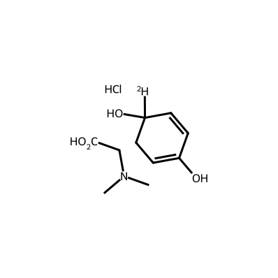 CN(C)CC(=O)O.Cl.[2H]C1(O)C=CC(O)=CC1